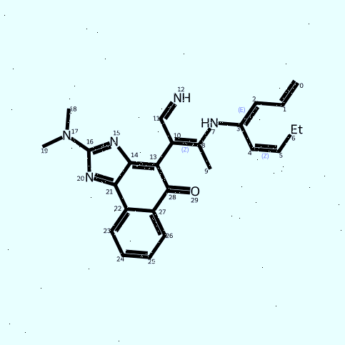 C=C/C=C(\C=C/CC)N/C(C)=C(\C=N)C1=C2N=C(N(C)C)N=C2c2ccccc2C1=O